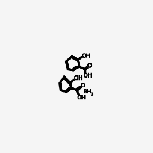 B.O=C(O)c1ccccc1O.O=C(O)c1ccccc1O